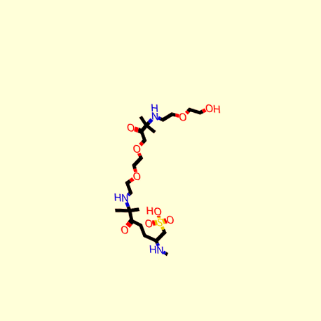 CNC(CCC(=O)C(C)(C)NCCOCCOCC(=O)C(C)(C)NCCOCCO)CS(=O)(=O)O